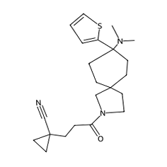 CN(C)C1(c2cccs2)CCC2(CCN(C(=O)CCC3(C#N)CC3)C2)CC1